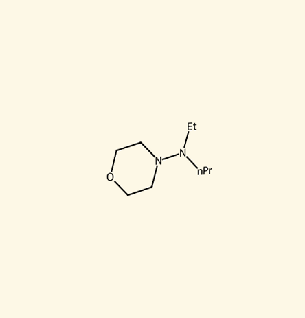 CCCN(CC)N1CCOCC1